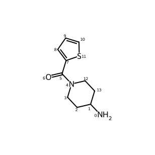 NC1CCN(C(=O)c2cccs2)CC1